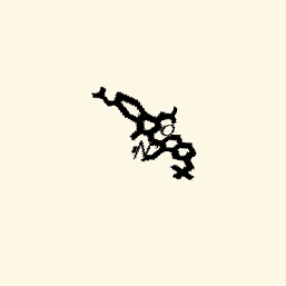 Cc1c2c(c(CC(C)C)c3ccc(CC(C)C)cc13)Oc1cc3ccc(CC(C)(C)C)cc3c3cc[n+](C)c-2c13